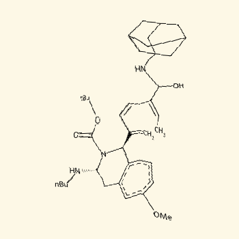 C=C(/C=C\C(=C/C)C(O)NC12CC3CC(CC(C3)C1)C2)[C@H]1c2ccc(OC)cc2C[C@H](NCCCC)N1C(=O)OC(C)(C)C